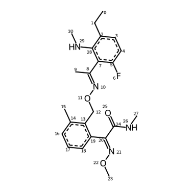 CCc1ccc(F)c(/C(C)=N/OCc2c(C)cccc2/C(=N\OC)C(=O)NC)c1NC